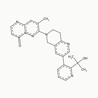 Cc1cc2nccc(=O)n2nc1N1CCc2ncc(-c3cccnc3C(C)(C)O)cc2C1